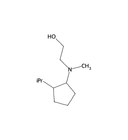 CC(C)C1CCCC1N(C)CCO